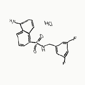 Cl.Nc1cccc2c(S(=O)(=O)NCc3cc(F)cc(F)c3)cccc12